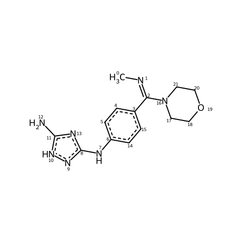 C/N=C(\c1ccc(Nc2n[nH]c(N)n2)cc1)N1CCOCC1